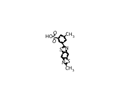 Cc1cc(-c2nc3cc4sc(C)nc4cc3s2)cc(S(=O)(=O)O)c1